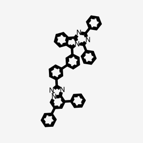 c1ccc(-c2cc(-c3ccccc3)c3nc(-c4cccc(-c5cccc(-c6c7ccccc7c7nc(-c8ccccc8)nc(-c8ccccc8)n67)c5)c4)nn3c2)cc1